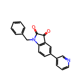 O=C1C(=O)N(Cc2ccccc2)c2ccc(-c3cccnc3)cc21